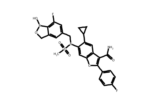 CS(=O)(=O)N(Cc1cc(F)c2c(c1)COB2O)c1cc2oc(-c3ccc(F)cc3)c(C(N)=O)c2cc1C1CC1